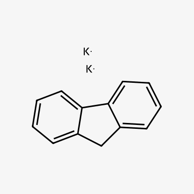 [K].[K].c1ccc2c(c1)Cc1ccccc1-2